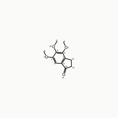 COc1cc2c(c(OC)c1OC)CCC2=O